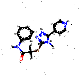 CN(C(=O)C(C)(C)Sc1nnc(-c2ccncc2)n1C)c1ccccc1